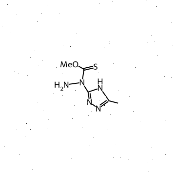 COC(=S)N(N)c1nnc(C)[nH]1